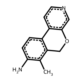 Cc1c(N)ccc2c1COc1cnccc1-2